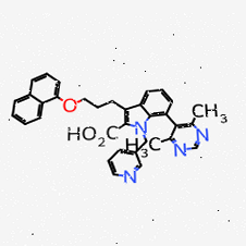 Cc1ncnc(C)c1-c1cccc2c(CCCOc3cccc4ccccc34)c(C(=O)O)n(Cc3cccnc3)c12